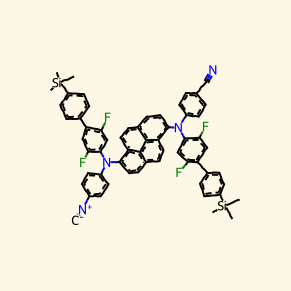 [C-]#[N+]c1ccc(N(c2cc(F)c(-c3ccc([Si](C)(C)C)cc3)cc2F)c2ccc3ccc4c(N(c5ccc(C#N)cc5)c5cc(F)c(-c6ccc([Si](C)(C)C)cc6)cc5F)ccc5ccc2c3c54)cc1